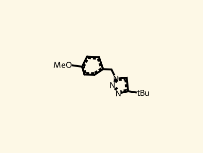 COc1ccc(Cn2cc(C(C)(C)C)nn2)cc1